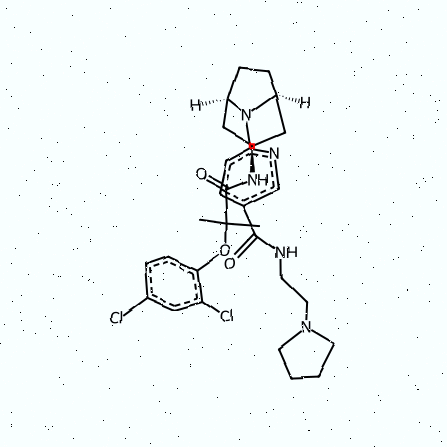 CC(C)(Oc1ccc(Cl)cc1Cl)C(=O)N[C@H]1C[C@H]2CC[C@@H](C1)N2c1ccc(C(=O)NCCN2CCCC2)cn1